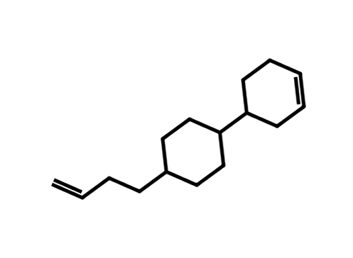 C=CCCC1CCC(C2CC=CCC2)CC1